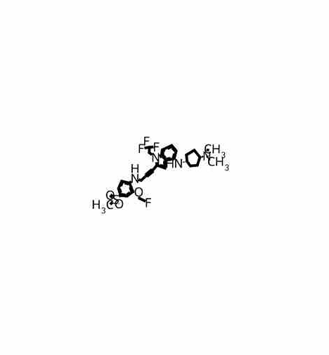 CN(C)[C@H]1CC[C@H](Nc2cccc3c2cc(C#CCNc2ccc(S(C)(=O)=O)cc2OCF)n3CC(F)(F)F)CC1